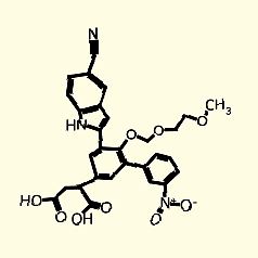 COCCOCOc1c(-c2cccc([N+](=O)[O-])c2)cc(C(CC(=O)O)C(=O)O)cc1-c1cc2cc(C#N)ccc2[nH]1